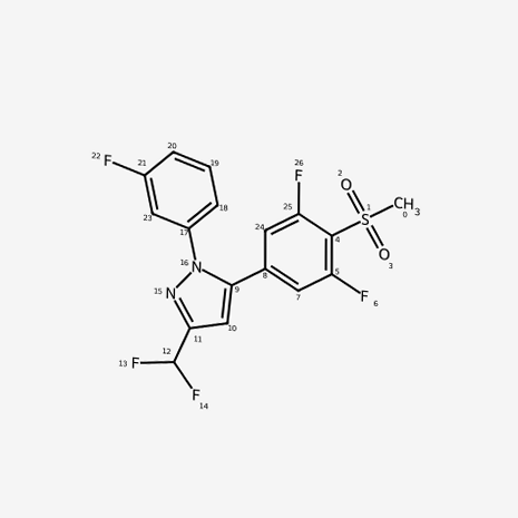 CS(=O)(=O)c1c(F)cc(-c2cc(C(F)F)nn2-c2cccc(F)c2)cc1F